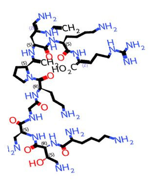 C=CN/C(=C\N)C[C@H](NC(=C)[C@@H]1CCCN1C(=O)[C@@H](CCCN)NC(=O)CNC(=O)[C@H](CN)NC(=O)[C@H](NC(=O)C(N)CCCCN)[C@@H](O)CN)C(=O)N[C@@H](CCCCN)C(=O)N/C(=C\CCNC(=N)N)C(=O)O